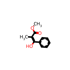 COC(=O)C(C)=C(O)c1ccccc1